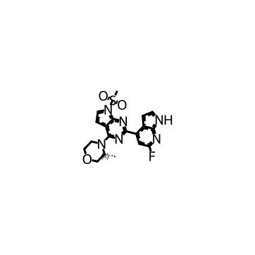 C[C@@H]1COCCN1c1nc(-c2cc(F)nc3[nH]ccc23)nc2c1ccn2S(C)(=O)=O